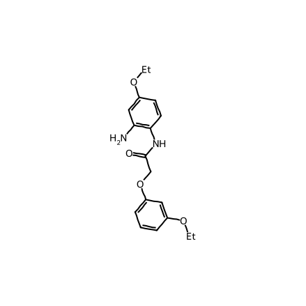 CCOc1cccc(OCC(=O)Nc2ccc(OCC)cc2N)c1